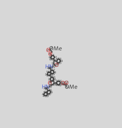 COC(=O)COc1ccc([C@H]2C[C@@H](CN[C@H](C)c3cccc4c(-c5ccc6c(c5)O[C@H](CN[C@H](C)c5cccc7ccccc57)C[C@H]6c5ccc(OCC(=O)OC)cc5)cccc34)Oc3ccccc32)cc1